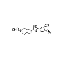 CC(C)Oc1ccc(-c2nc(C3=CCC4CCN(CC=O)CCC4=C3)no2)cc1C#N